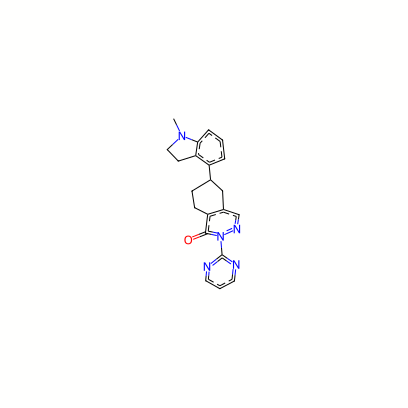 CN1CCc2c(C3CCc4c(cnn(-c5ncccn5)c4=O)C3)cccc21